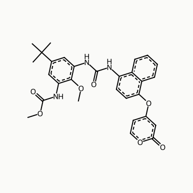 COC(=O)Nc1cc(C(C)(C)C)cc(NC(=O)Nc2ccc(Oc3ccoc(=O)c3)c3ccccc23)c1OC